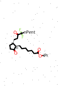 CCCCCC(F)(F)C(=O)CC[C@H]1CCC(=O)[C@@H]1CCCCCCC(=O)OC(C)C